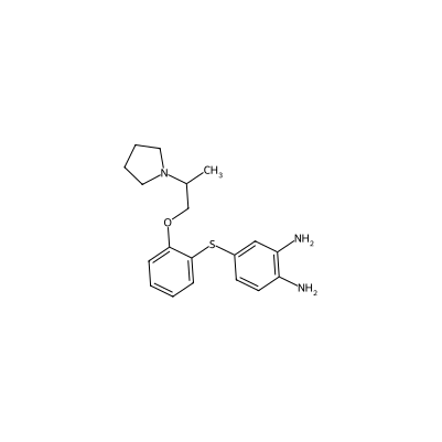 CC(COc1ccccc1Sc1ccc(N)c(N)c1)N1CCCC1